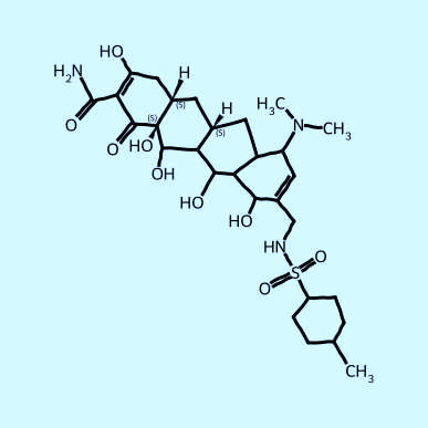 CC1CCC(S(=O)(=O)NCC2=CC(N(C)C)C3C[C@H]4C[C@H]5CC(O)=C(C(N)=O)C(=O)[C@@]5(O)C(O)C4C(O)C3C2O)CC1